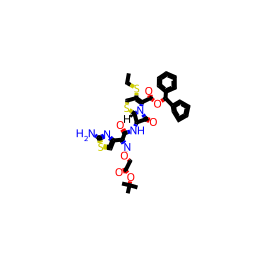 CCSC1=C(C(=O)OC(c2ccccc2)c2ccccc2)N2C(=O)C(NC(=O)C(=NOCC(=O)OC(C)(C)C)c3csc(N)n3)[C@@H]2SC1